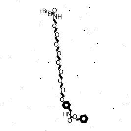 CC(C)(C)OC(=O)NCCOCCOCCOCCOCCOCCOCCOCCOCCOc1ccc(CNC(=O)OCc2ccccc2)cc1